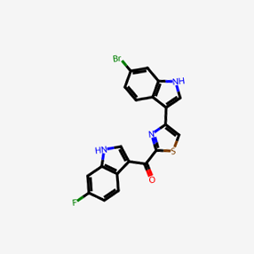 O=C(c1nc(-c2c[nH]c3cc(Br)ccc23)cs1)c1c[nH]c2cc(F)ccc12